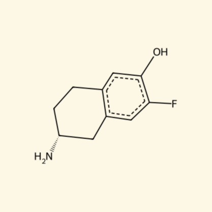 N[C@@H]1CCc2cc(O)c(F)cc2C1